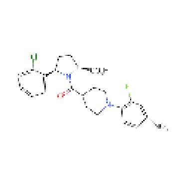 O=C(O)[C@@H]1CC[C@H](c2ccccc2Cl)N1C(=O)C1CCN(c2ccc([N+](=O)[O-])cc2F)CC1